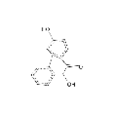 O=C1c2ccc(O)cc2-c2ccccc2C1O